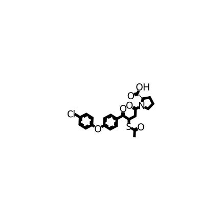 CC(=O)SC(CC(=O)N1CCC[C@H]1C(=O)O)C(=O)c1ccc(Oc2ccc(Cl)cc2)cc1